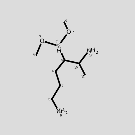 CO[SiH](OC)C(CCCN)C(C)N